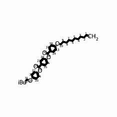 C=CCCCCCCCCCOc1ccc(C(=O)Oc2ccc(C(=O)Oc3ccc(OCC(C)CC)cc3)cc2)cc1